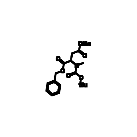 COC(=O)C[C@H](C(=O)OCc1ccccc1)N(C)C(=O)OC(C)(C)C